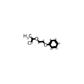 CC(Cl)OCCOc1ccccc1